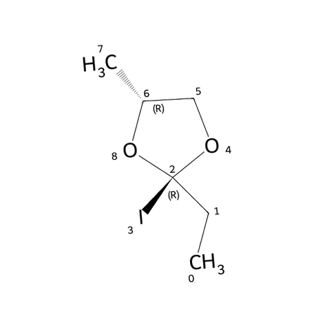 CC[C@@]1(I)OC[C@@H](C)O1